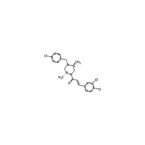 C[C@@H]1CN(Cc2ccc(Cl)cc2)[C@@H](C)CN1C(=O)/C=C/c1ccc(Cl)c(Cl)c1